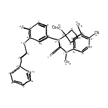 CN(C(=S)N(c1ccc(F)c(OCCc2ccccn2)c1)C1(C=O)CCC1)c1cnc(C#N)c(C(F)(F)F)c1